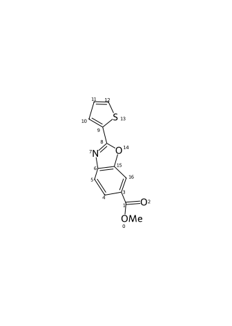 COC(=O)c1ccc2nc(-c3cccs3)oc2c1